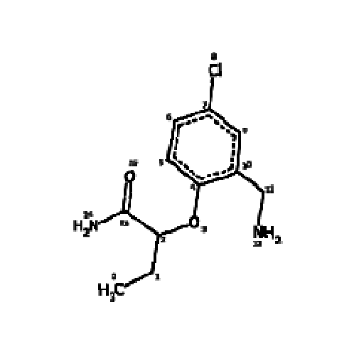 CCC(Oc1ccc(Cl)cc1CN)C(N)=O